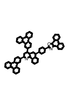 c1ccc2c(c1)c(-c1ccc(-c3nc4c5ccccc5c5ccccc5c4o3)cc1)cc1c(-c3ccc4c5ccccc5c5ccccc5c4c3)cc(-c3ccc4c5ccccc5c5ccccc5c4c3)nc12